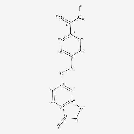 C=C1CCc2cc(OCc3ccc(C(=O)OC)cc3)ccc21